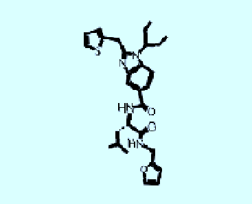 CCC(CC)n1c(Cc2cccs2)nc2cc(C(=O)N[C@@H](CC(C)C)C(=O)NCc3ccco3)ccc21